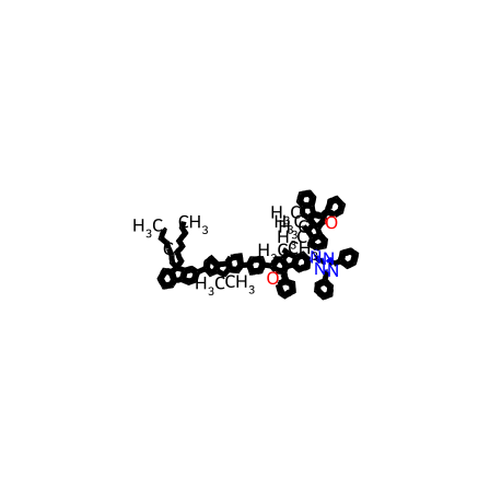 CCCCCCCC1(CCCCCCC)c2ccccc2-c2ccc(-c3ccc4c(c3)C(C)(C)c3cc(-c5ccc(-c6cc7c(c8c6oc6ccccc68)-c6ccc(N(c8ccc9c(c8)C(C)(C)c8c%10c(c%11c(oc%12ccccc%12%11)c8-9)-c8ccccc8C%10(C)C)c8nc(-c9ccccc9)nc(-c9ccccc9)n8)cc6C7(C)C)cc5)ccc3-4)cc21